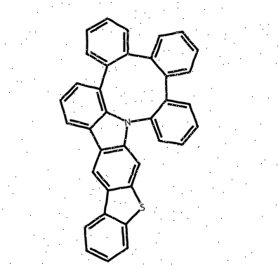 c1ccc2c(c1)sc1cc3c(cc12)c1cccc2c4ccccc4c4ccccc4c4ccccc4n3c21